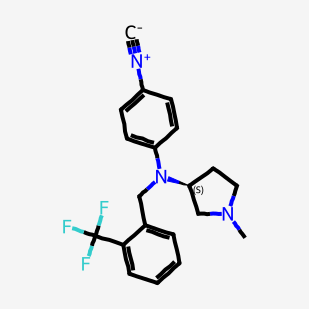 [C-]#[N+]c1ccc(N(Cc2ccccc2C(F)(F)F)[C@H]2CCN(C)C2)cc1